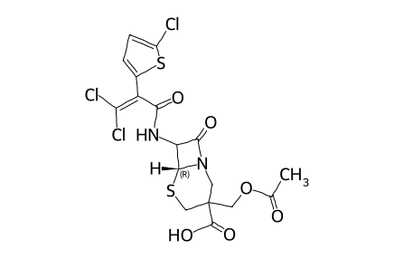 CC(=O)OCC1(C(=O)O)CS[C@@H]2C(NC(=O)C(=C(Cl)Cl)c3ccc(Cl)s3)C(=O)N2C1